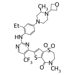 CCc1cc(N2CCN(C3COC3)[C@H](C)C2)ccc1Nc1ncc(C(F)(F)F)c(-c2cc3c(s2)C(=O)N(C)CCS3(=O)=O)n1